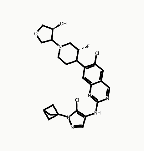 O[C@@H]1COCC1N1CCC(c2cc3nc(Nc4cnn(C56CC(C5)C6)c4Cl)ncc3cc2Cl)[C@@H](F)C1